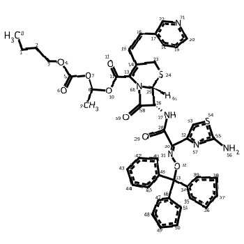 CCCCOC(=O)OC(C)OC(=O)C1=C(/C=C\c2cccnc2)CS[C@@H]2[C@H](NC(=O)/C(=N/OC(c3ccccc3)(c3ccccc3)c3ccccc3)c3csc(N)n3)C(=O)N12